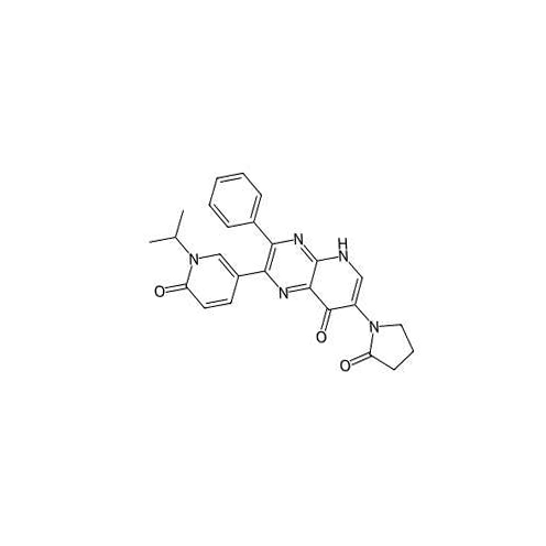 CC(C)n1cc(-c2nc3c(=O)c(N4CCCC4=O)c[nH]c3nc2-c2ccccc2)ccc1=O